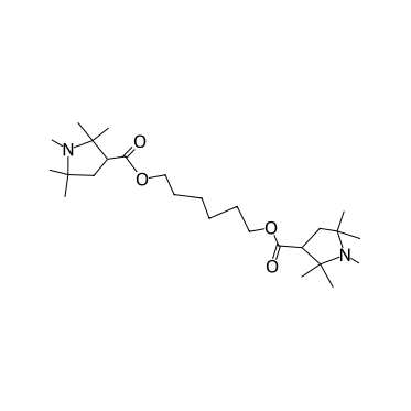 CN1C(C)(C)CC(C(=O)OCCCCCCOC(=O)C2CC(C)(C)N(C)C2(C)C)C1(C)C